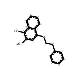 COc1cc(OCCc2ccccc2)c2ccccc2c1O